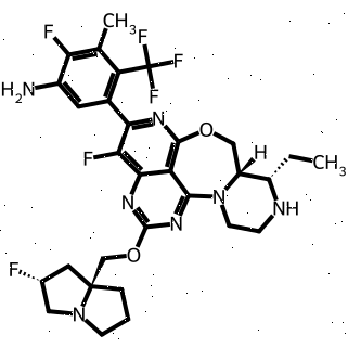 CC[C@@H]1NCCN2c3nc(OC[C@@]45CCCN4C[C@H](F)C5)nc4c(F)c(-c5cc(N)c(F)c(C)c5C(F)(F)F)nc(c34)OC[C@H]12